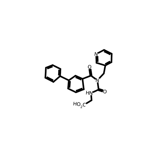 O=C(O)CNC(=O)N(Cc1cccnc1)C(=O)c1cccc(-c2ccccc2)c1